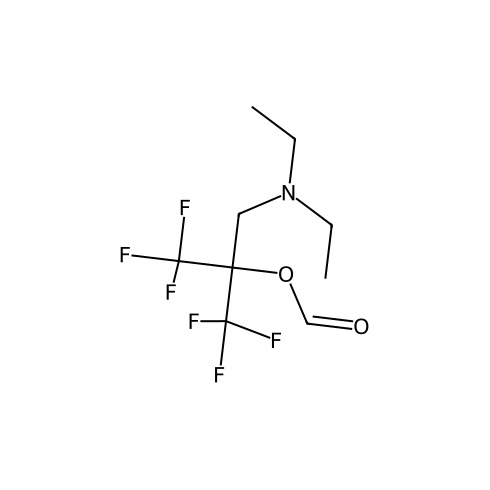 CCN(CC)CC(OC=O)(C(F)(F)F)C(F)(F)F